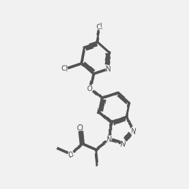 COC(=O)C(C)n1nnc2ccc(Oc3ncc(Cl)cc3Cl)cc21